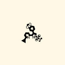 CN(C)S(=O)(=O)n1cc(-c2ccc3c(c2)OCO3)c(-c2cccc(C3CC3)n2)n1